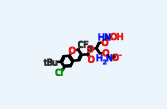 CC(C)(C)c1cc2c(cc1Cl)C=C(C(=O)OC(CONO)CO[NH2+][O-])C(C(F)(F)F)O2